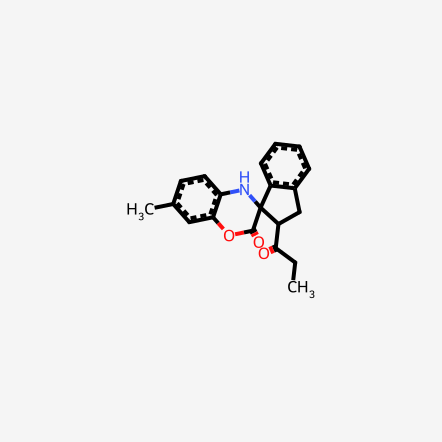 CCC(=O)C1Cc2ccccc2C12Nc1ccc(C)cc1OC2=O